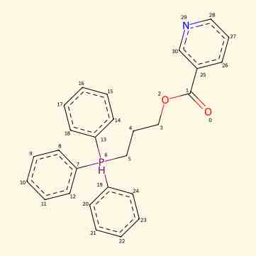 O=C(OCCC[PH](c1ccccc1)(c1ccccc1)c1ccccc1)c1cccnc1